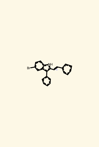 Brc1ccc2[nH]c(/C=C/c3ccccc3)c(-c3ccccc3)c2c1